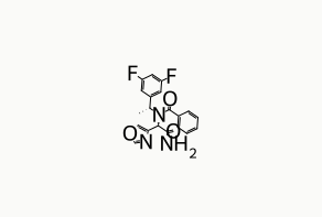 C[C@H](c1cc(F)cc(F)c1)N(C(=O)c1ccccc1)[C@@H](C(N)=O)c1cocn1